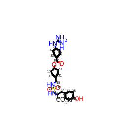 N=C(N)Nc1ccc(C(=O)Oc2ccc(CNS(=O)(=O)N[C@@H](Cc3ccc(O)cc3)C(=O)O)cc2)cc1